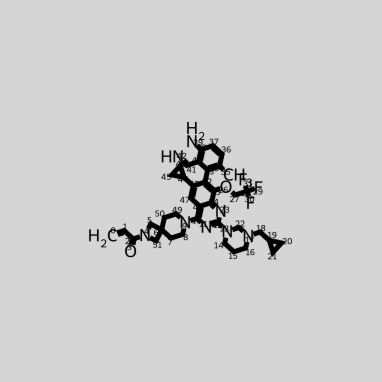 C=CC(=O)N1CC2(CCN(c3nc(N4CCCN(CC5CC5)C4)nc4c(OCC(F)(F)F)c(-c5c(C)ccc(N)c5C=N)c(C5CC5)cc34)CC2)C1